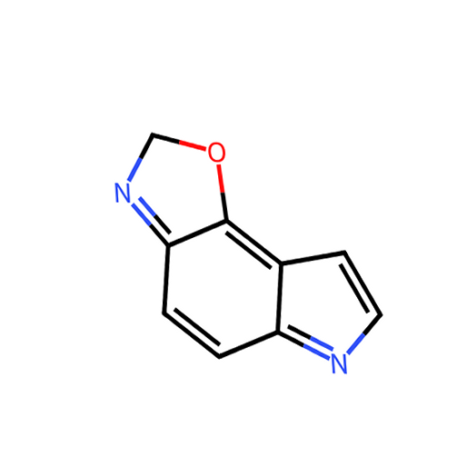 C1=Cc2c3c(ccc2=N1)=NCO3